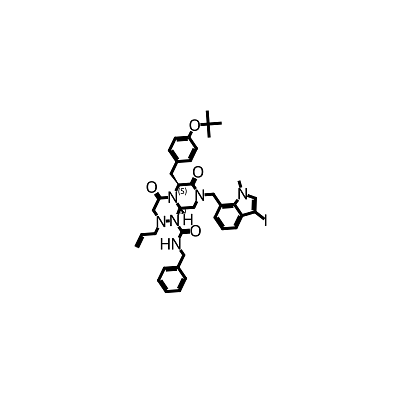 C=CCN1CC(=O)N2[C@@H](Cc3ccc(OC(C)(C)C)cc3)C(=O)N(Cc3cccc4c(I)cn(C)c34)C[C@@H]2N1C(=O)NCc1ccccc1